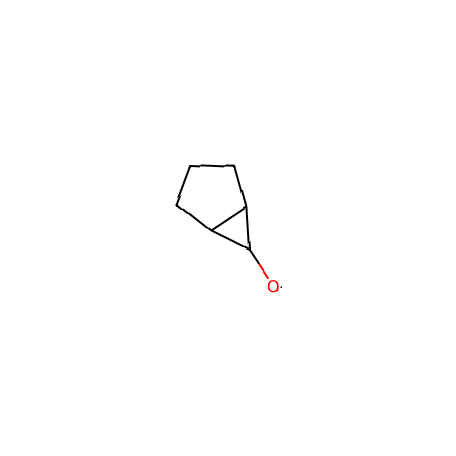 [O]C1C2CCCC12